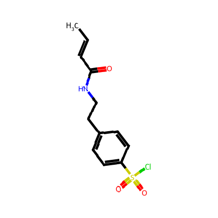 C/C=C/C(=O)NCCc1ccc(S(=O)(=O)Cl)cc1